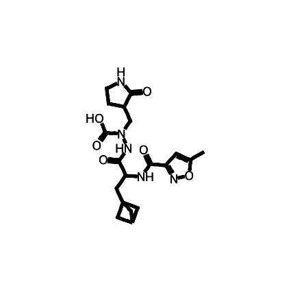 Cc1cc(C(=O)NC(CC23CC(C2)C3)C(=O)NN(CC2CCNC2=O)C(=O)O)no1